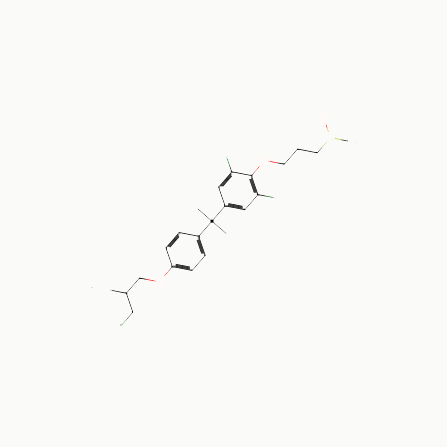 CC[S+]([O-])CCCOc1c(Cl)cc(C(C)(C)c2ccc(OCC(CCl)OC(C)=O)cc2)cc1Cl